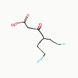 O=C(O)CC(=O)C(CCF)CCF